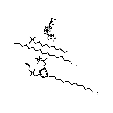 Br.Br.C=CC[N+](C)(C)Cc1ccccc1.CC(=O)[N+](C)(C)C.CCCCCCCCCCCCCCCCN.CCCCCCCCCCCCN.CCCCCCCCCC[N+](C)(C)C.Cl.N.N.[Br-].[Br-].[Br-]